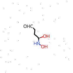 O=CCC[C@@H](O)NO